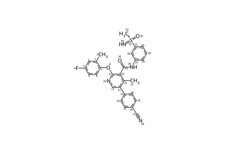 Cc1cc(F)ccc1Oc1ncc(-c2ccc(C#N)cc2)c(C)c1C(=O)Nc1cccc([S@](C)(=N)=O)c1